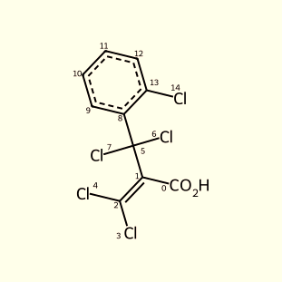 O=C(O)C(=C(Cl)Cl)C(Cl)(Cl)c1ccccc1Cl